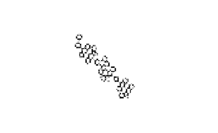 c1ccc(-c2cccc(-c3c4ccccc4c(-c4c5ccccc5c(-c5ccc(-c6c7ccccc7c(-c7c8ccccc8c(-c8ccc(-c9c%10ccccc%10c(-c%10c%11ccccc%11cc%11oc%12ccccc%12c%10%11)c%10ccccc9%10)cc8)c8oc9ccccc9c78)c7ccccc67)c(-c6ccccc6)c5)c5oc6ccccc6c45)c4ccccc34)c2)cc1